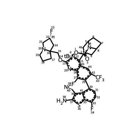 CC(C)(C)OC(=O)N1C2CCC1CN(c1nc(OCC34CCCN3C[C@H](F)C4)nc3c(F)c(-c4ccc(F)c5sc(N)c(C#N)c45)c(C(F)(F)F)cc13)C2